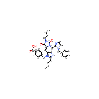 CCCCc1ncc(/C=C2/C(=O)N(CCCC)C(=O)N2Cc2nccn2Cc2ccccc2)n1Cc1ccc(C(=O)O)cc1